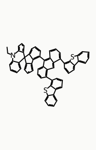 CCN1c2ccccc2C2(c3ccccc3-c3c(-c4c5cccc(-c6cccc7c6sc6ccccc67)c5cc5c(-c6cccc7c6sc6ccccc67)cccc45)cccc32)c2ccccc21